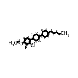 CCCCCC1CCC(C2CCC(c3ccc(OCC)c(F)c3Cl)CC2)CC1